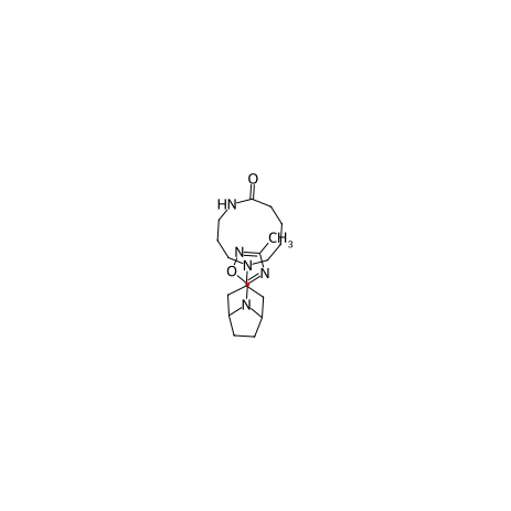 Cc1noc(N2C3CCC2CC(N2CCCCC(=O)NCCC2)C3)n1